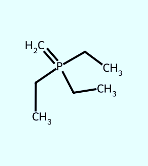 C=P(CC)(CC)CC